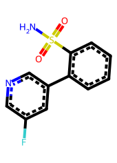 NS(=O)(=O)c1ccccc1-c1cncc(F)c1